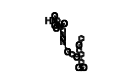 CS(=O)(=O)c1ccc(-c2ccc3cc(OCc4ccccc4)ccc3c2Oc2ccc(OCCCCN3CCN(c4ccc5c(c4)C(=O)N(C4CCC(=O)NC4=O)C5=O)CC3)cc2)cc1